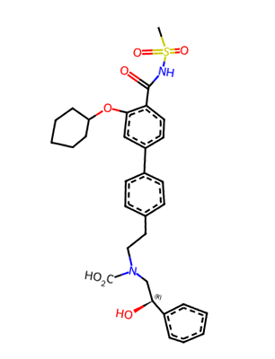 CS(=O)(=O)NC(=O)c1ccc(-c2ccc(CCN(C[C@H](O)c3ccccc3)C(=O)O)cc2)cc1OC1CCCCC1